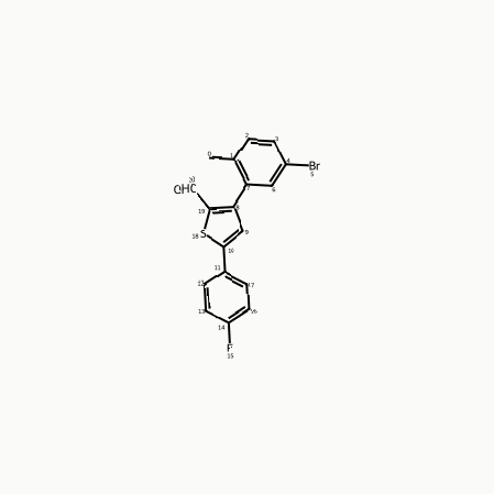 Cc1ccc(Br)cc1-c1cc(-c2ccc(F)cc2)sc1C=O